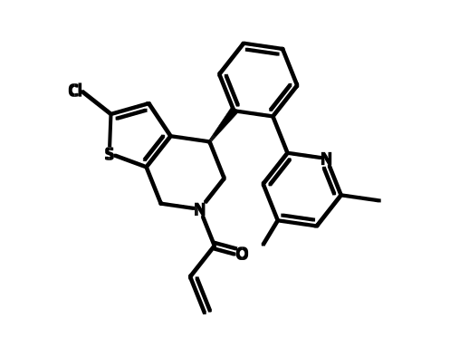 C=CC(=O)N1Cc2sc(Cl)cc2[C@@H](c2ccccc2-c2cc(C)cc(C)n2)C1